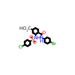 O=C(O)c1ccc(C(=O)Nc2ccc(Br)cc2)c(NS(=O)(=O)c2ccc(Cl)cc2)c1